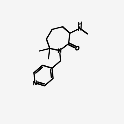 CNC1CCCC(C)(C)N(Cc2ccncc2)C1=O